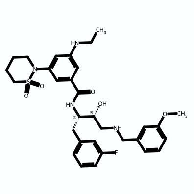 CCNc1cc(C(=O)N[C@@H](Cc2cccc(F)c2)[C@H](O)CNCc2cccc(OC)c2)cc(N2CCCCS2(=O)=O)c1